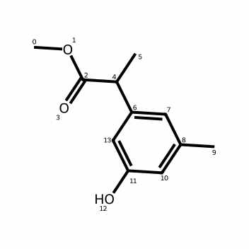 COC(=O)C(C)c1cc(C)cc(O)c1